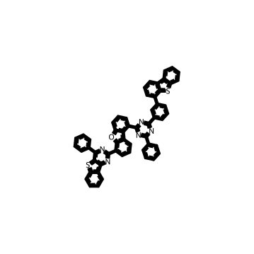 c1ccc(-c2nc(-c3cccc(-c4cccc5c4sc4ccccc45)c3)nc(-c3cccc4oc5c(-c6nc(-c7ccccc7)c7sc8ccccc8c7n6)cccc5c34)n2)cc1